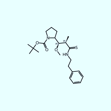 CO[C@@H](C1CCCN1C(=O)OC(C)(C)C)[C@@H](C)C(=S)NCCc1ccccc1